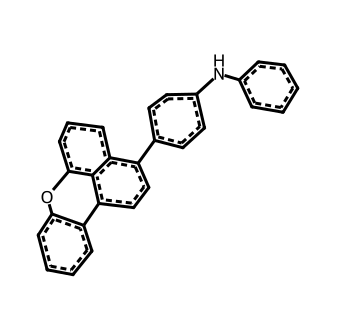 c1ccc(Nc2ccc(-c3ccc4c5c(cccc35)Oc3ccccc3-4)cc2)cc1